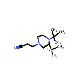 C[SiH](C)C1CN(CCC#N)CCN1C(C)(C)C